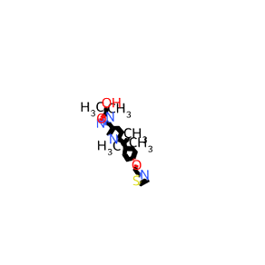 CC(C)C(C)(c1ccc(OCc2nccs2)cc1)c1ccc(-c2noc(C(C)(C)O)n2)cn1